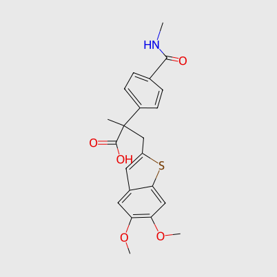 CNC(=O)c1ccc(C(C)(Cc2cc3cc(OC)c(OC)cc3s2)C(=O)O)cc1